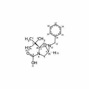 CC(C)(C)[C@@]12C[C@H](CN1C(=O)O)N(Cc1ccccc1)C2